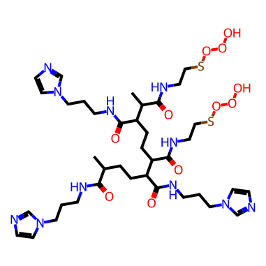 CC(CCC(C(=O)NCCCn1ccnc1)C(CCC(C(=O)NCCCn1ccnc1)C(C)C(=O)NCCSOOO)C(=O)NCCSOOO)C(=O)NCCCn1ccnc1